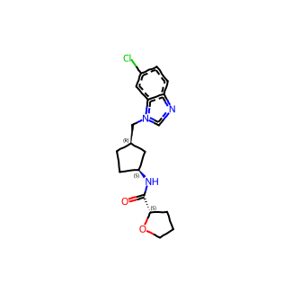 O=C(N[C@H]1CC[C@@H](Cn2cnc3ccc(Cl)cc32)C1)[C@@H]1CCCO1